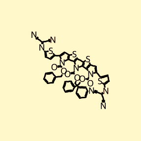 N#CC(C#N)=Nc1ccc(-c2cc3sc4c5sc6cc(-c7ccc(N=C(C#N)C#N)s7)n(C(=O)OCc7ccccc7)c6c5n(C(=O)OCc5ccccc5)c4c3n2C(=O)OCc2ccccc2)s1